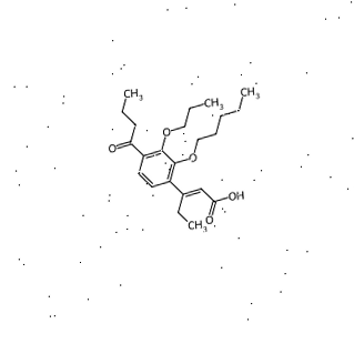 CCCCCOc1c(C(=CC(=O)O)CC)ccc(C(=O)CCC)c1OCCC